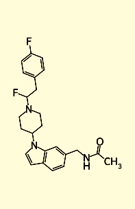 CC(=O)NCc1ccc2ccn(C3CCN(C(F)Cc4ccc(F)cc4)CC3)c2c1